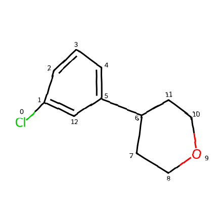 Clc1cccc(C2CCOCC2)c1